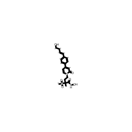 CC(CCn1ccc(-c2ccc(/C=C/CCO)cc2)cc1=O)(C(=O)NO)S(C)(=O)=O